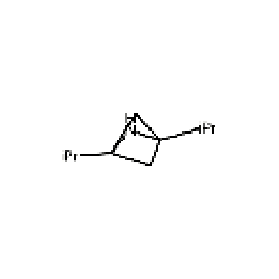 CC(C)C12CC(C(C)C)(C1)N2